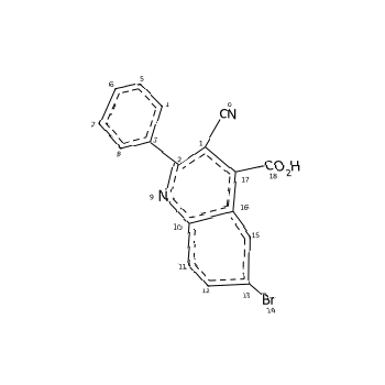 N#Cc1c(-c2ccccc2)nc2ccc(Br)cc2c1C(=O)O